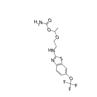 CC(OCCNc1nc2ccc(OC(F)(F)F)cc2s1)OC(N)=O